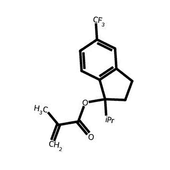 C=C(C)C(=O)OC1(C(C)C)CCc2cc(C(F)(F)F)ccc21